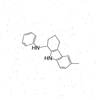 Cc1ccc2[nH]c3c(c2c1)CCCC3Nc1ccccc1